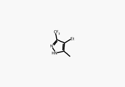 CCc1c(C(F)(F)F)n[nH]c1C